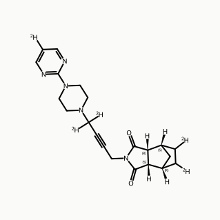 [2H]c1cnc(N2CCN(C([2H])([2H])C#CCN3C(=O)[C@@H]4[C@H](C3=O)[C@H]3C[C@@H]4C([2H])C3[2H])CC2)nc1